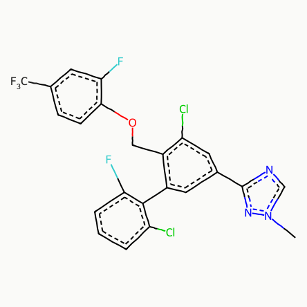 Cn1cnc(-c2cc(Cl)c(COc3ccc(C(F)(F)F)cc3F)c(-c3c(F)cccc3Cl)c2)n1